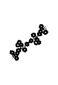 S=P(c1ccccc1)(c1ccccc1)c1ccc2cc(N3c4ccccc4N(c4ccc(-c5ccc(N6c7ccccc7N(c7ccc8cc(P(=S)(c9ccccc9)c9ccccc9)ccc8c7)c7c6cc6cccc8c6c7CC=C8)cc5)cc4)c4c3cc3cccc5c3c4CC=C5)ccc2c1